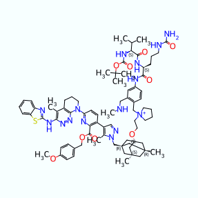 CNCc1cc(NC(=O)[C@H](CCCNC(N)=O)NC(=O)[C@@H](NC(=O)OC(C)(C)C)C(C)C)ccc1C[N+]1(CCO[C@]23C[C@@]4(C)C[C@](C)(C[C@](Cn5ncc(-c6ccc(N7CCCc8c7nnc(Nc7nc9ccccc9s7)c8C)nc6C(=O)OCc6ccc(OC)cc6)c5C)(C4)C2)C3)CCCC1